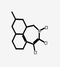 CC1CC2CCCC3=C2C(C1)CN(Cl)C(Cl)=C3Cl